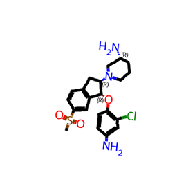 CS(=O)(=O)c1ccc2c(c1)[C@@H](Oc1ccc(N)cc1Cl)[C@H](N1CCC[C@@H](N)C1)C2